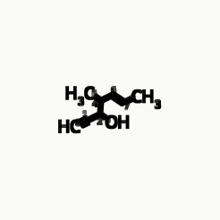 C#CC(O)C(C)/C=C/C